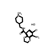 CN1CCC(CNC(=O)c2cc(Cl)c(N)c3c2OCCO3)CC1.Cl